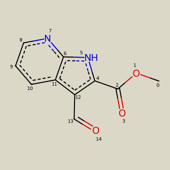 COC(=O)c1[nH]c2ncccc2c1C=O